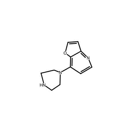 c1cc(N2CCNCC2)c2occc2n1